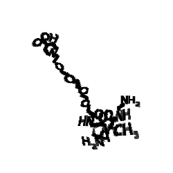 C[C@H](NC(=O)[C@H](CC(N)=O)NC(=O)CCOCCOCCOCCOCCN1CCC(C(=O)O)CC1)C(=O)NCCN